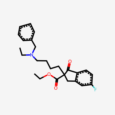 CCOC(=O)C1(CCCCN(CC)Cc2ccccc2)Cc2cc(F)ccc2C1=O